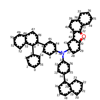 c1ccc(-c2c(-c3ccc(N(c4ccc(-c5cccc6ccccc56)cc4)c4ccc5oc6c7ccccc7ccc6c5c4)cc3)ccc3ccccc23)cc1